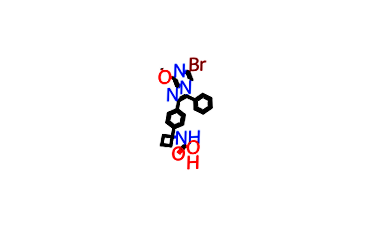 COc1nc(Br)cn2c(-c3ccccc3)c(-c3ccc(C4(NC(=O)O)CCC4)cc3)nc12